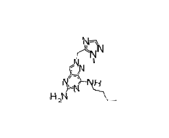 CCCCNc1nc(N)nc2cn(Cc3ncnn3C)nc12